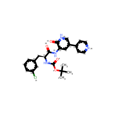 CC(C)(C)OC(=O)N[C@@H](Cc1cccc(Cl)c1)C(=O)Nc1cc(-c2ccncc2)c[nH]c1=O